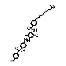 CCc1ccc(C(=O)Nc2ccc(/N=N/c3cc(OC)c(NC(=O)c4ccc(CCCCCCCC[N+](C)(C)C)cc4)cc3C)cc2)cc1